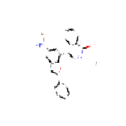 CSNc1cc(-c2cn(C)c(=O)c3ccccc23)c2oc(-c3ccccc3)cc2c1